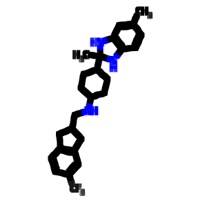 Cc1ccc2c(c1)NC(C)(C1CCC(NCC3Cc4ccc(C(F)(F)F)cc4C3)CC1)N2